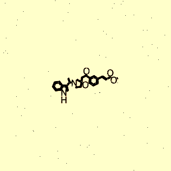 COC(=O)/C=C/c1ccc2c(c1)C(=O)CC1(CCN(C(C)c3c[nH]c4ccccc34)C1)O2